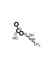 CCCNCC(O)COc1ccc2c(=O)cc(-c3ccccc3)oc2c1.Cl